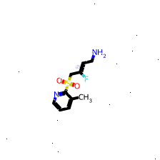 Cc1cccnc1S(=O)(=O)C/C(F)=C/CN